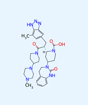 Cc1cc(CC(C(=O)N2CCC(N3CCN(C)CC3)CC2)[C@H]2CC(N3CCc4ccccc4NC3=O)CCN2C(=O)O)cc2nn[nH]c12